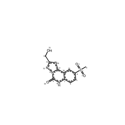 CS(=O)(=O)c1ccc2[nH]c(=O)n3nc(CO)nc3c2c1